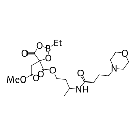 CCB1OC(=O)C(CC(=O)OC)(C(=O)OCCC(C)NC(=O)CCCN2CCOCC2)O1